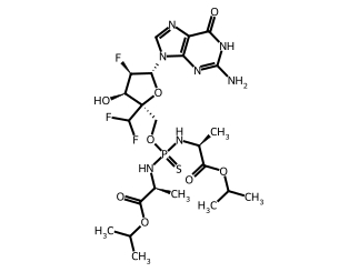 CC(C)OC(=O)[C@H](C)NP(=S)(N[C@@H](C)C(=O)OC(C)C)OC[C@@]1(C(F)F)O[C@@H](n2cnc3c(=O)[nH]c(N)nc32)[C@H](F)[C@@H]1O